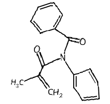 C=C(C)C(=O)N(C(=O)c1ccccc1)c1ccccc1